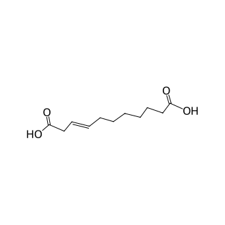 O=C(O)CC=CCCCCCCC(=O)O